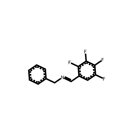 Fc1cc(/C=N/Cc2ccccc2)c(F)c(F)c1F